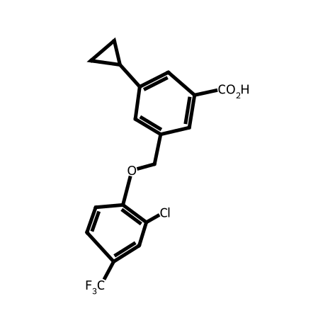 O=C(O)c1cc(COc2ccc(C(F)(F)F)cc2Cl)cc(C2CC2)c1